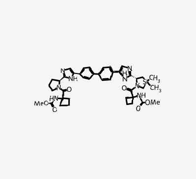 COC(=O)NC1(C(=O)N2CCC[C@H]2c2ncc(-c3ccc(-c4ccc(-c5cnc([C@@H]6C[Si](C)(C)CN6C(=O)C6(NC(=O)OC)CCC6)[nH]5)cc4)cc3)[nH]2)CCC1